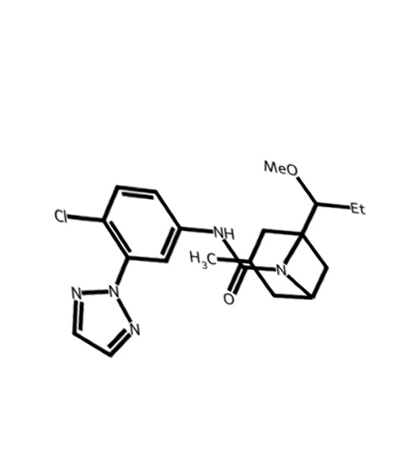 CCC(OC)C12CC(C)CC(C1)N2C(=O)Nc1ccc(Cl)c(-n2nccn2)c1